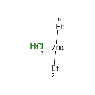 C[CH2][Zn][CH2]C.Cl